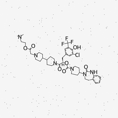 CN(C)CCOC(=O)CN1CCC(C2CCN(C(=O)[C@@H](Cc3cc(Cl)c(O)c(C(F)(F)F)c3)OC(=O)N3CCC(N4CCc5ccccc5NC4=O)CC3)CC2)CC1